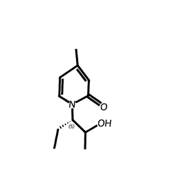 CC[C@@H](C(C)O)n1ccc(C)cc1=O